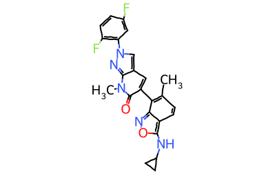 Cc1ccc2c(NC3CC3)onc2c1-c1cc2cn(-c3cc(F)ccc3F)nc2n(C)c1=O